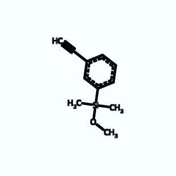 C#Cc1cccc([Si](C)(C)OC)c1